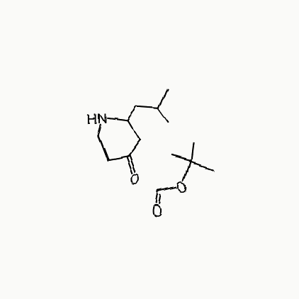 CC(C)(C)OC=O.CC(C)CC1CC(=O)CCN1